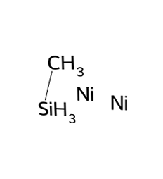 C[SiH3].[Ni].[Ni]